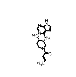 C/C=C/C(=O)N1CC[C@@H](O)[C@@H](Nc2ncnc3[nH]ccc23)C1